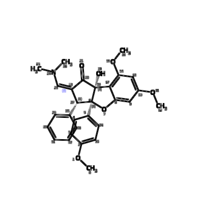 COc1ccc([C@@]23Oc4cc(OC)cc(OC)c4[C@]2(O)C(=O)/C(=C\N(C)C)[C@H]3c2ccccc2)cc1